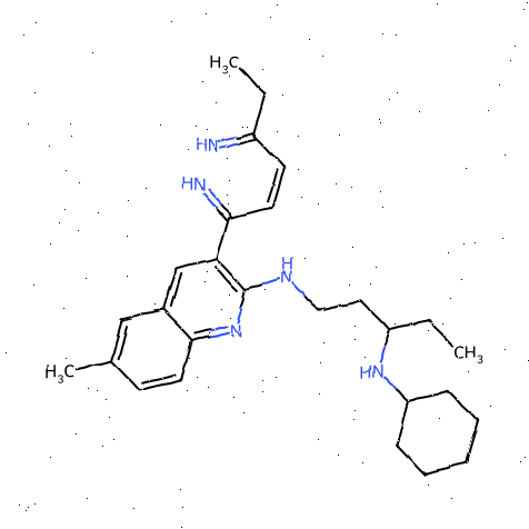 CCC(=N)/C=C\C(=N)c1cc2cc(C)ccc2nc1NCCC(CC)NC1CCCCC1